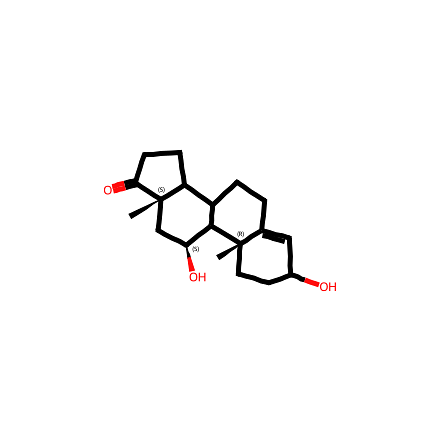 C[C@]12CCC(O)C=C1CCC1C2[C@@H](O)C[C@]2(C)C(=O)CCC12